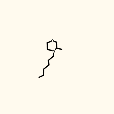 CCCCCCN1CCOCC1C